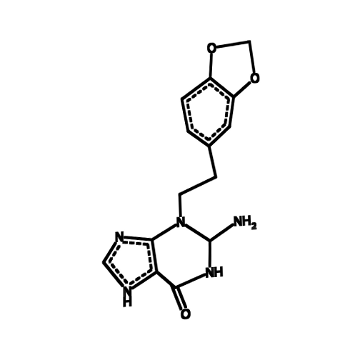 NC1NC(=O)c2[nH]cnc2N1CCc1ccc2c(c1)OCO2